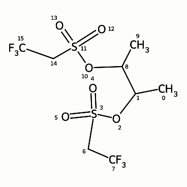 CC(OS(=O)(=O)CC(F)(F)F)C(C)OS(=O)(=O)CC(F)(F)F